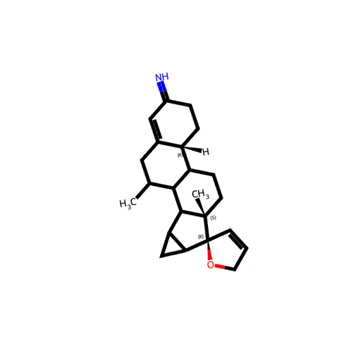 CC1CC2=CC(=N)CC[C@@H]2C2CC[C@@]3(C)C(C4CC4[C@@]34C=CCO4)C12